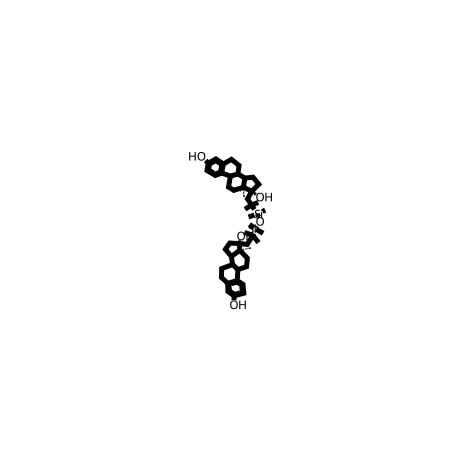 CC(C)(C[C@@]1(O)CCC2C3CCc4cc(O)ccc4C3CC[C@@]21C)[Si](C)(C)O[Si](C)(C)C(C)(C)C[C@@]1(O)CCC2C3CCc4cc(O)ccc4C3CC[C@@]21C